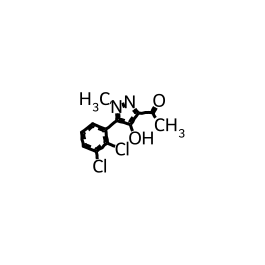 CC(=O)c1nn(C)c(-c2cccc(Cl)c2Cl)c1O